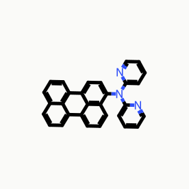 c1ccc(N(c2ccccn2)c2ccc3c4cccc5cccc(c6cccc2c63)c54)nc1